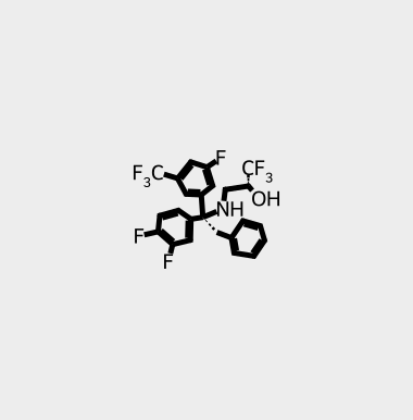 O[C@H](CN[C@](Cc1ccccc1)(c1cc(F)cc(C(F)(F)F)c1)c1ccc(F)c(F)c1)C(F)(F)F